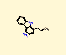 C=CCc1cccc2c1[nH]c1ccccc12.N